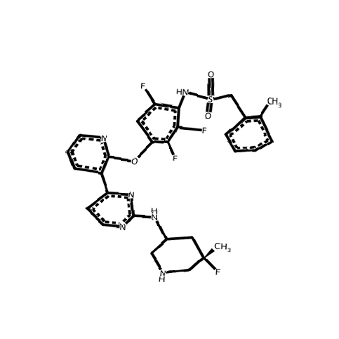 Cc1ccccc1CS(=O)(=O)Nc1c(F)cc(Oc2ncccc2-c2ccnc(NC3CNC[C@@](C)(F)C3)n2)c(F)c1F